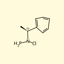 C[C@@H](c1ccccc1)N(P)Cl